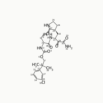 CC(C)CC(NC(=O)OCC(C)(C)c1cccc(Cl)c1)C(=O)NC(C[C@@H]1CCNC1=O)C(=O)C(N)=O